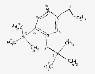 CCc1cc(CC(C)(C)C)c([Si](C)(C)C)cn1